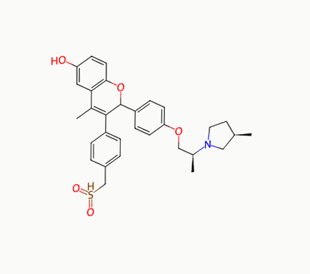 CC1=C(c2ccc(C[SH](=O)=O)cc2)C(c2ccc(OC[C@H](C)N3CC[C@@H](C)C3)cc2)Oc2ccc(O)cc21